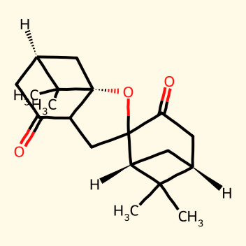 CC1(C)[C@H]2CC(=O)C3(CC4C(=O)C[C@H]5C[C@]4(O3)C5(C)C)[C@@H]1C2